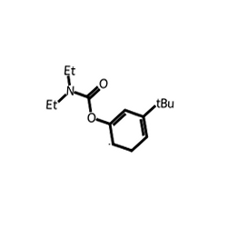 CCN(CC)C(=O)OC1=CC(C(C)(C)C)=CC[CH]1